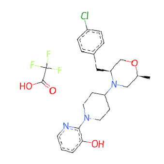 C[C@H]1CN(C2CCN(c3ncccc3O)CC2)[C@@H](Cc2ccc(Cl)cc2)CO1.O=C(O)C(F)(F)F